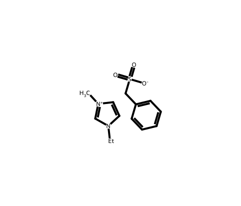 CCn1cc[n+](C)c1.O=S(=O)([O-])Cc1ccccc1